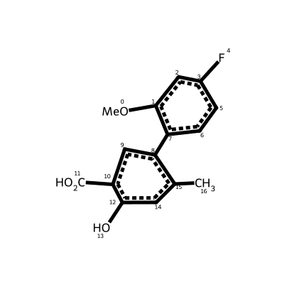 COc1cc(F)ccc1-c1cc(C(=O)O)c(O)cc1C